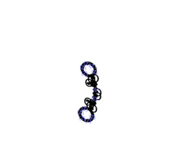 COc1cc(/C=C/C(=O)CC(=O)/C=C/c2ccc(OC(=O)C3C/C=C\C/C=C\C/C=C\C/C=C\C/C=C\CC3)c(OC)c2)ccc1OC(=O)C1C/C=C\C/C=C\C/C=C\C/C=C\C/C=C\CC1